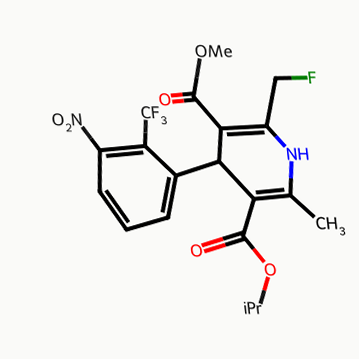 COC(=O)C1=C(CF)NC(C)=C(C(=O)OC(C)C)C1c1cccc([N+](=O)[O-])c1C(F)(F)F